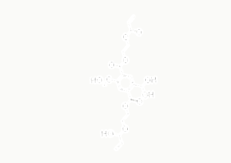 C=CC(=O)OCCOC(=O)c1cc(C(O)O)c(C(=O)OCCO[C@@H](O)C=C)cc1C(=O)O